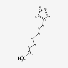 COCCCCCCc1ccoc1